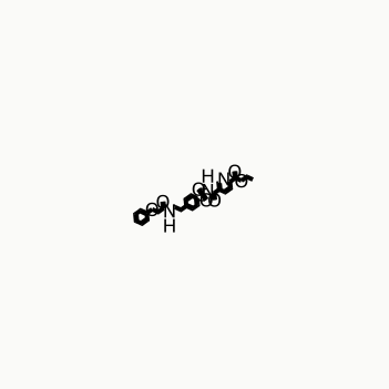 CCOC(=O)c1ccc(C(=O)NS(=O)(=O)c2ccc(CCNC(=O)COc3ccccc3)cc2)cn1